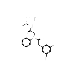 CCOC(=O)[C@H](C)NC(=O)CN(C(=O)Cc1cc(F)cc(F)c1)c1ccccc1